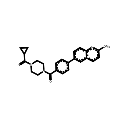 COc1ccc2cc(-c3ccc(C(=O)N4CCN(C(=O)C5CC5)CC4)cc3)ccc2n1